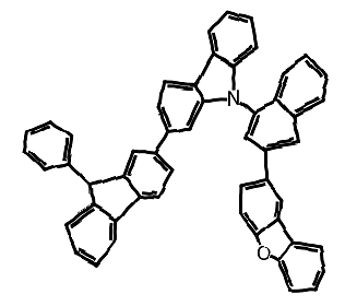 c1ccc(C2c3ccccc3-c3ccc(-c4ccc5c6ccccc6n(-c6cc(-c7ccc8oc9ccccc9c8c7)cc7ccccc67)c5c4)cc32)cc1